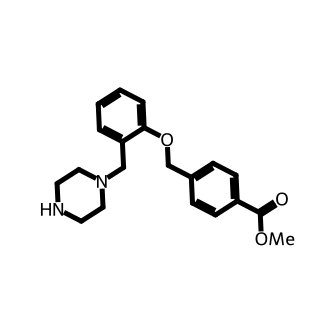 COC(=O)c1ccc(COc2ccccc2CN2CCNCC2)cc1